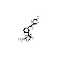 C[C@]1(c2cc(/C=C(\F)c3cnc(Cl)cn3)ccc2F)N=C(N)OCC1(F)F